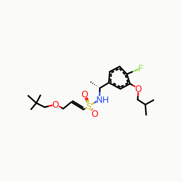 CC(C)COc1cc([C@@H](C)NS(=O)(=O)/C=C/COCC(C)(C)C)ccc1F